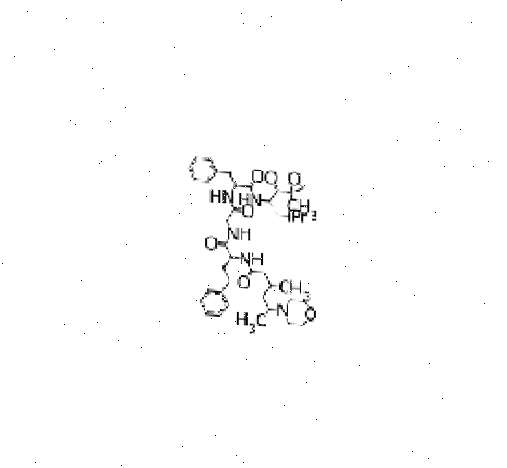 CC(C)C[C@H](NC(=O)[C@H](Cc1ccccc1)NC(=O)CNC(=O)[C@H](CCc1ccccc1)NC(=O)CC(C)CC(C)N1CCOCC1)C(=O)[C@@]1(C)CO1